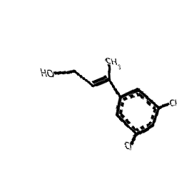 CC(=CCO)c1cc(Cl)cc(Cl)c1